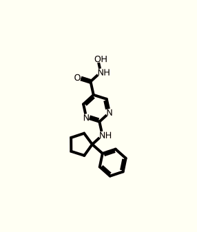 O=C(NO)c1cnc(NC2(c3ccccc3)CCCC2)nc1